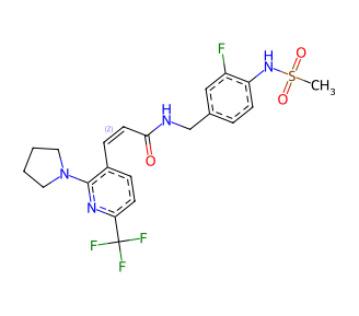 CS(=O)(=O)Nc1ccc(CNC(=O)/C=C\c2ccc(C(F)(F)F)nc2N2CCCC2)cc1F